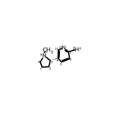 [2H]c1ccc([C@@H]2CCCN2C)cn1